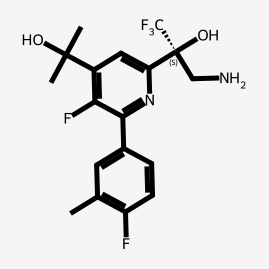 Cc1cc(-c2nc([C@@](O)(CN)C(F)(F)F)cc(C(C)(C)O)c2F)ccc1F